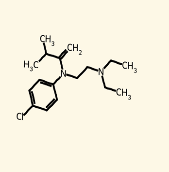 C=C(C(C)C)N(CCN(CC)CC)c1ccc(Cl)cc1